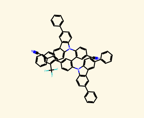 N#Cc1ccc(-n2c3ccc(-c4ccccc4)cc3c3cc(-c4ccccc4)ccc32)c(-c2cc(-c3ccc(C#N)cc3C(F)(F)F)ccc2-n2c3ccc(-c4ccccc4)cc3c3cc(-c4ccccc4)ccc32)c1